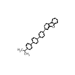 CC(C)c1ccc(-c2ccc(-c3ccc(-c4ccc5c(c4)oc4ccccc45)cc3)cc2)cc1